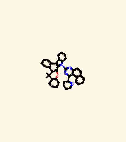 CC1(C)c2ccccc2Oc2c1c1ccccc1c1c3ccccc3n(-c3nc(-c4ccccn4)c4c(ccc5ccccc54)n3)c21